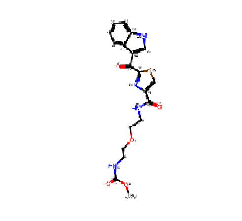 CC(C)(C)OC(=O)NCCOCCNC(=O)c1csc(C(=O)c2c[nH]c3ccccc23)n1